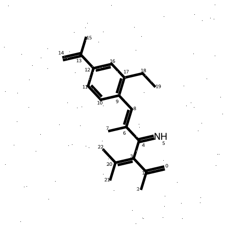 C=C(C)C(C(=N)/C(C)=C/c1ccc(C(=C)C)cc1CC)=C(C)C